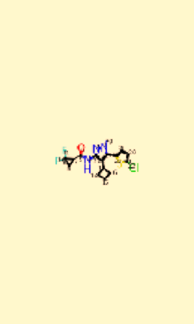 Cn1nc(NC(=O)[C@H]2CC2(F)F)c(C2CCC2)c1-c1ccc(Cl)s1